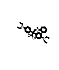 CCN(CC)c1ccc(C(C[Si](C)(C)c2ccccc2)(C(=O)O)c2ccc(N(CC)CC)cc2)cc1